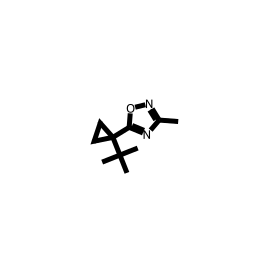 Cc1noc(C2(C(C)(C)C)CC2)n1